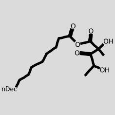 CCCCCCCCCCCCCCCCCC(=O)OC(=O)C(C)(O)C(=O)C(C)O